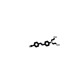 N#Cc1ccc(/C=C/c2ccc(N(CCO)CCO)cc2)cc1